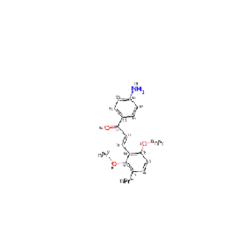 CCCOc1ccc(CCC)c(OCCC)c1C=CC(=O)c1ccc(N)cc1